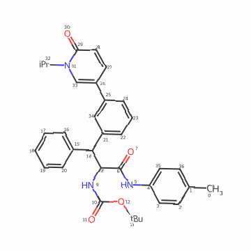 Cc1ccc(NC(=O)C(NC(=O)OC(C)(C)C)C(c2ccccc2)c2cccc(-c3ccc(=O)n(C(C)C)c3)c2)cc1